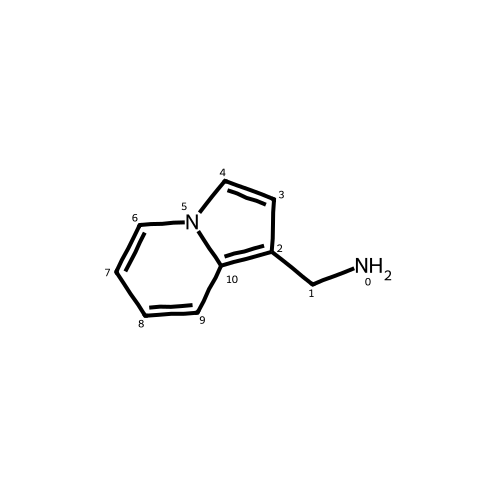 NCc1ccn2ccccc12